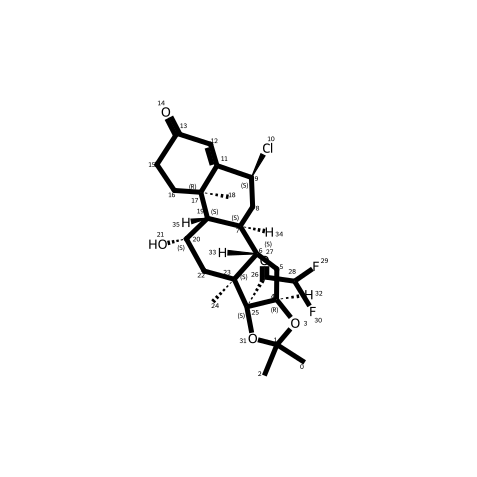 CC1(C)O[C@@H]2C[C@H]3[C@@H]4C[C@H](Cl)C5=CC(=O)CC[C@]5(C)[C@H]4[C@@H](O)C[C@]3(C)[C@]2(C(=O)C(F)F)O1